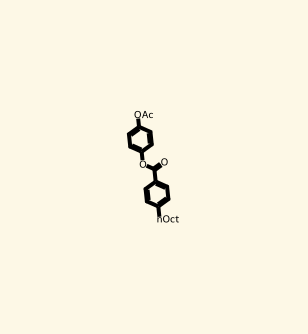 CCCCCCCCc1ccc(C(=O)Oc2ccc(OC(C)=O)cc2)cc1